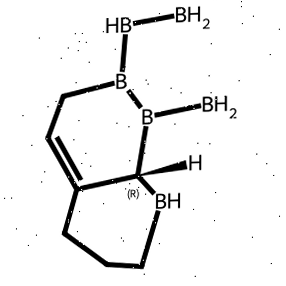 BBB1CC=C2CCCB[C@H]2B1B